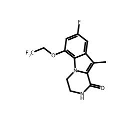 Cc1c2n(c3c(OCC(F)(F)F)cc(F)cc13)CCNC2=O